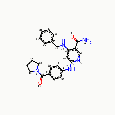 NC(=O)c1cnc(Nc2ccc(C(=O)N3CCCC3)cc2)cc1NCc1ccccc1